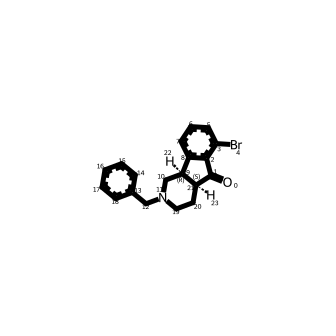 O=C1c2c(Br)cccc2[C@@H]2CN(Cc3ccccc3)CC[C@H]12